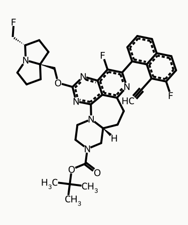 C#Cc1c(F)ccc2cccc(-c3nc4c5c(nc(OC[C@@]67CCCN6[C@H](CF)CC7)nc5c3F)N3CCN(C(=O)OC(C)(C)C)C[C@H]3CC4)c12